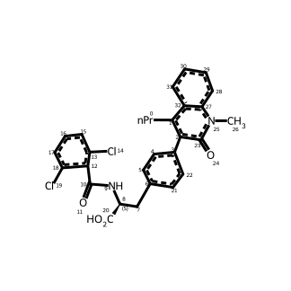 CCCc1c(-c2ccc(C[C@H](NC(=O)c3c(Cl)cccc3Cl)C(=O)O)cc2)c(=O)n(C)c2ccccc12